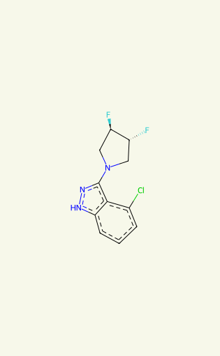 F[C@@H]1CN(c2n[nH]c3cccc(Cl)c23)C[C@H]1F